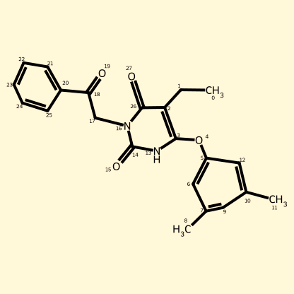 CCc1c(Oc2cc(C)cc(C)c2)[nH]c(=O)n(CC(=O)c2ccccc2)c1=O